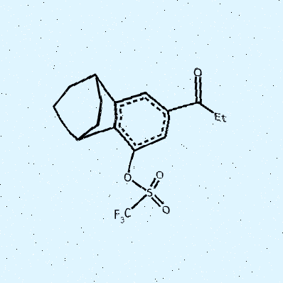 CCC(=O)c1cc(OS(=O)(=O)C(F)(F)F)c2c(c1)C1CCC2CC1